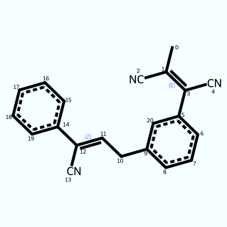 C/C(C#N)=C(\C#N)c1cccc(C/C=C(\C#N)c2ccccc2)c1